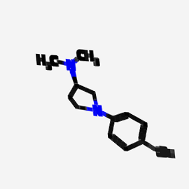 CN(C)[C@@H]1CCN(c2ccc(C(C)(C)C)cc2)C1